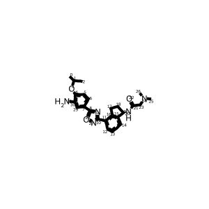 CC(C)Oc1ccc(-c2nc(-c3cccc4c3CC[C@@H]4NC(=O)CN(C)C)no2)cc1N